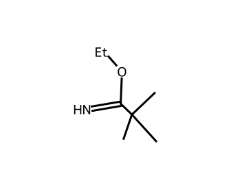 CCOC(=N)C(C)(C)C